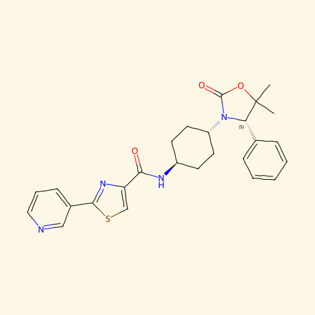 CC1(C)OC(=O)N([C@H]2CC[C@H](NC(=O)c3csc(-c4cccnc4)n3)CC2)[C@H]1c1ccccc1